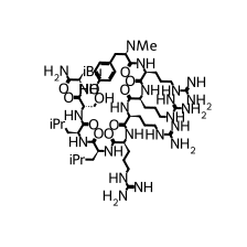 CC[C@H](C)[C@H](NC(=O)[C@H](CO)NC(=O)[C@H](CC(C)C)NC(=O)[C@H](CC(C)C)NC(=O)[C@H](CCCNC(=N)N)NC(=O)[C@H](CCCNC(=N)N)NC(=O)[C@H](CCCNC(=N)N)NC(=O)[C@H](CCCNC(=N)N)NC(=O)[C@H](Cc1ccc(O)cc1)NC)C(N)=O